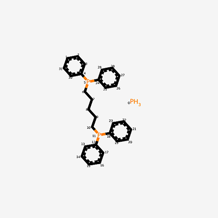 P.c1ccc(P(CCCCCP(c2ccccc2)c2ccccc2)c2ccccc2)cc1